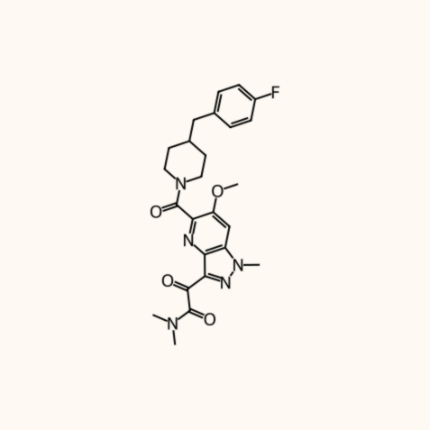 COc1cc2c(nc1C(=O)N1CCC(Cc3ccc(F)cc3)CC1)c(C(=O)C(=O)N(C)C)nn2C